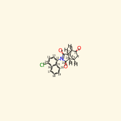 O=C1C[C@H]2CC[C@@H]1[C@H]1C(=O)N(c3ccc(Cl)c4ccccc34)C(=O)[C@@H]21